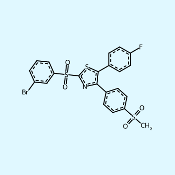 CS(=O)(=O)c1ccc(-c2nc(S(=O)(=O)c3cccc(Br)c3)sc2-c2ccc(F)cc2)cc1